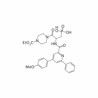 CCOC(=O)N1CCN(C(=O)C(CP(=O)(O)O)NC(=O)c2cc(-c3ccc(OC)cc3)cc(-c3ccccc3)n2)CC1